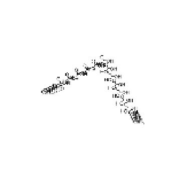 O=C(O)O.O=C(O)O.O=C(O)O.O=C(O)O.O=C(O)O.O=C(O)O.O=C(O)O.O=C(O)O.O=C(O)O.O=C(O)O.O=C(O)O.O=C(O)O.[CaH2].[CaH2].[CaH2].[CaH2].[CaH2].[CaH2].[CaH2].[CaH2].[CaH2].[CaH2].[CaH2]